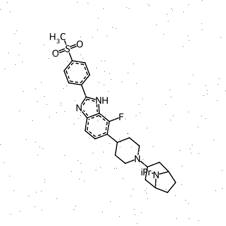 CC(C)N1C2CCC1CC(N1CCC(c3ccc4nc(-c5ccc(S(C)(=O)=O)cc5)[nH]c4c3F)CC1)C2